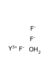 O.[F-].[F-].[F-].[Y+3]